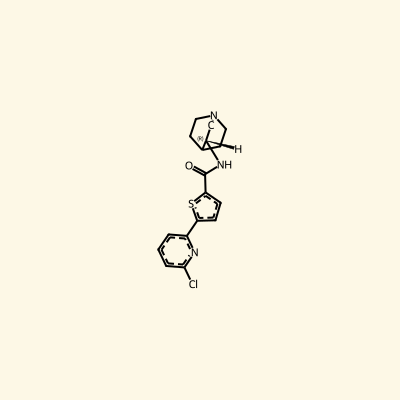 O=C(N[C@H]1CN2CCC1CC2)c1ccc(-c2cccc(Cl)n2)s1